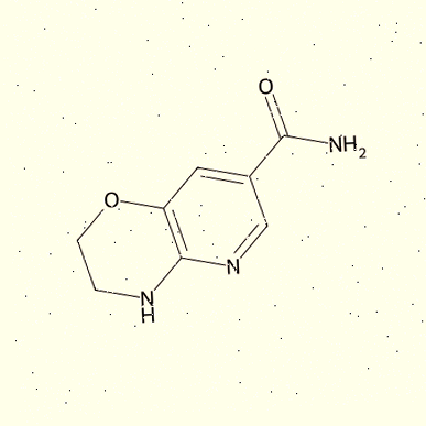 NC(=O)c1cnc2c(c1)OCCN2